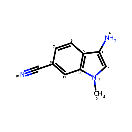 Cn1cc(N)c2ccc(C#N)cc21